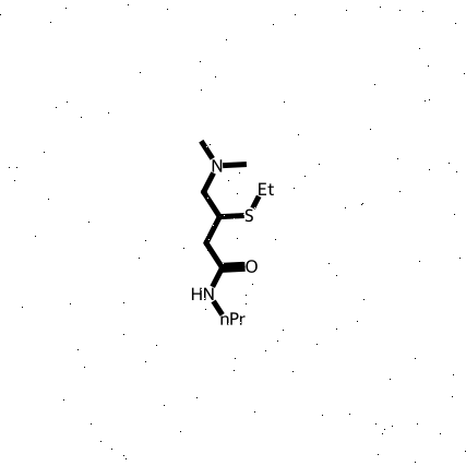 CCCNC(=O)CC(CN(C)C)SCC